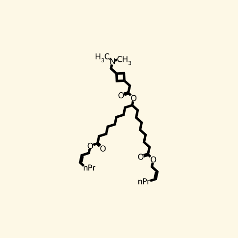 CCC/C=C\COC(=O)CCCCCCCC(CCCCCCCC(=O)OC/C=C\CCC)OC(=O)CC1CC(CN(C)C)C1